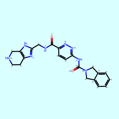 O=C(NCc1nc2c([nH]1)CNCC2)c1ccc(NC(=O)N2Cc3ccccc3C2)nn1